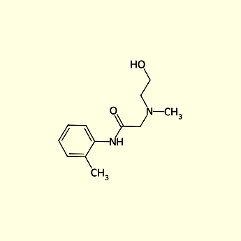 Cc1ccccc1NC(=O)CN(C)CCO